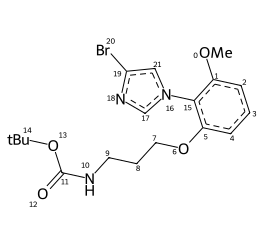 COc1cccc(OCCCNC(=O)OC(C)(C)C)c1-n1cnc(Br)c1